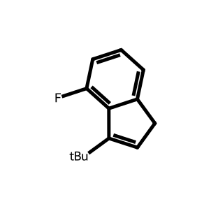 CC(C)(C)C1=CCc2cccc(F)c21